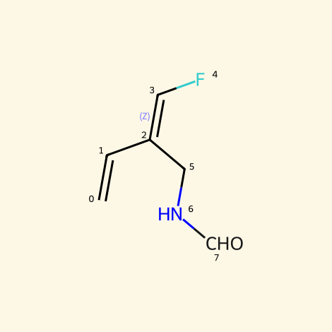 C=C/C(=C/F)CNC=O